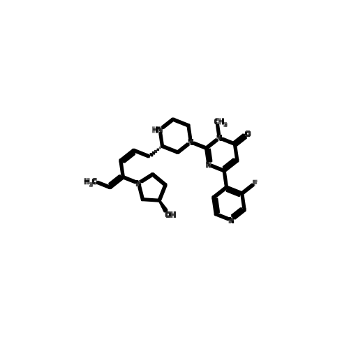 C/C=C(\C=C/C[C@H]1CN(c2nc(-c3ccncc3F)cc(=O)n2C)CCN1)N1CC[C@@H](O)C1